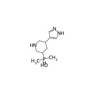 C[PH](C)(O)C1CNCC(c2cn[nH]c2)C1